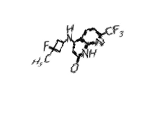 CC1(F)CC(Nc2cc(=O)[nH]c3nc(C(F)(F)F)ccc23)C1